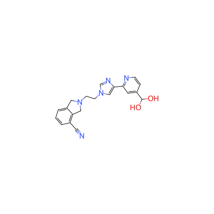 N#Cc1cccc2c1CN(CCn1cnc(-c3cc(C(O)O)ccn3)c1)C2